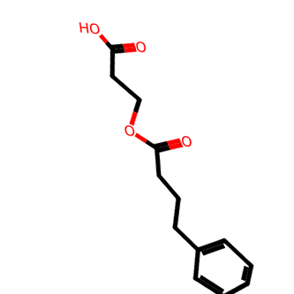 O=C(O)CCOC(=O)CCCc1ccccc1